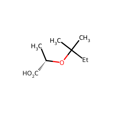 CCC(C)(C)O[C@@H](C)C(=O)O